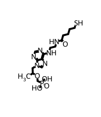 CC(Cn1cnc2c(NCCNC(=O)CCCCS)ncnc21)OCP(=O)(O)O